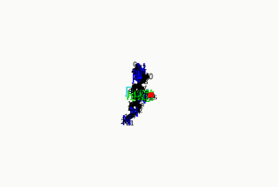 Cc1cn2nc(-c3cc(F)c4cc(C5CCN(CCN(C)C)CC5)nnc4c3)cc(C)c2n1.Cl.Cl.Cl